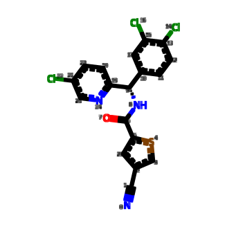 N#Cc1csc(C(=O)N[C@@H](c2ccc(Cl)c(Cl)c2)c2ccc(Cl)cn2)c1